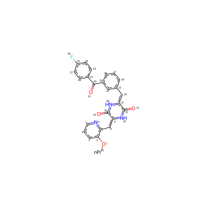 CCCOc1cccnc1C=c1[nH]c(=O)c(=Cc2cccc(C(=O)c3ccc(F)cc3)c2)[nH]c1=O